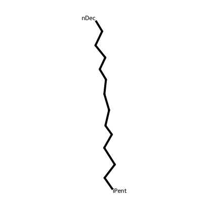 [CH2]CCCCCCCCCCCCCCCCCCCCCC(C)CC[CH2]